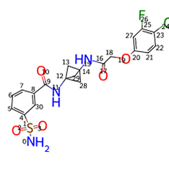 NS(=O)(=O)c1cccc(C(=O)NC23CC(NC(=O)COc4ccc(Cl)c(F)c4)(C2)C3)c1